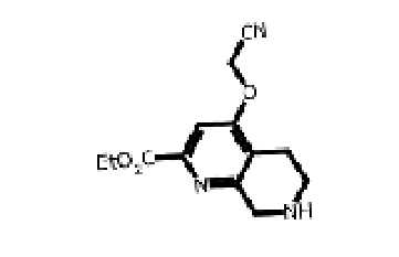 CCOC(=O)c1cc(OCC#N)c2c(n1)CNCC2